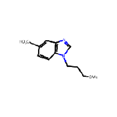 COCCCn1cnc2cc(C(=O)O)ccc21